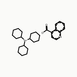 C1CC[CH]([Sn+]([CH]2CCCCC2)[CH]2CCCCC2)CC1.O=C([O-])c1ccnc2ccccc12